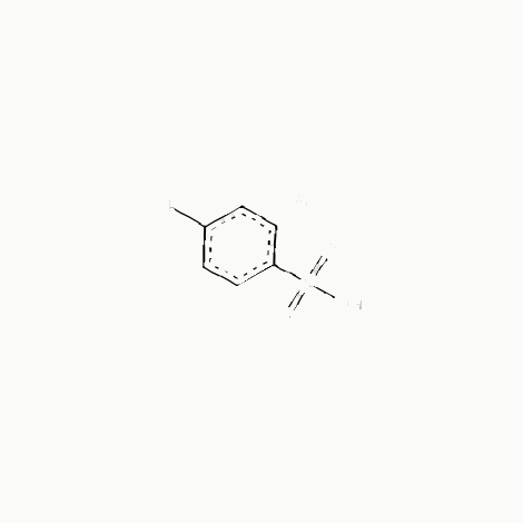 O=S(=O)(O)c1ccc(Cl)cc1.[Ag]